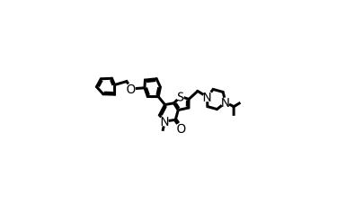 CC(C)N1CCN(Cc2cc3c(=O)n(C)cc(-c4cccc(OCc5ccccc5)c4)c3s2)CC1